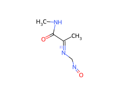 CNC(=O)/C(C)=N/CN=O